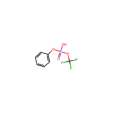 O=P(O)(Oc1ccccc1)OC(F)(F)F